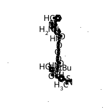 Cc1ncsc1-c1ccc(CNC(=O)[C@@H]2C[C@@H](O)CN2C(=O)[C@@H](NC(=O)COCCOCCOCCNC(=O)C2CCN(c3cc(-c4ccccc4O)nnc3N)CC2)C(C)(C)C)cc1